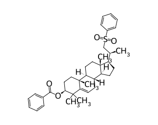 C[C@H](CS(=O)(=O)c1ccccc1)[C@H]1CC[C@H]2[C@@H]3CC=C4C(C)(C)[C@@H](OC(=O)c5ccccc5)CC[C@]4(C)[C@H]3CC[C@]12C